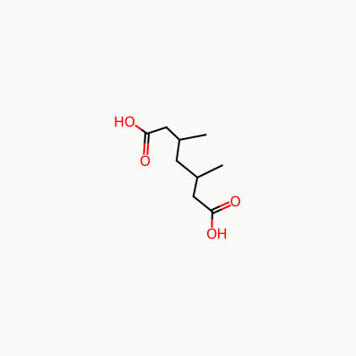 CC(CC(=O)O)CC(C)CC(=O)O